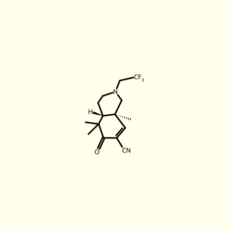 CC1(C)C(=O)C(C#N)=C[C@]2(C)CN(CC(F)(F)F)CC[C@@H]12